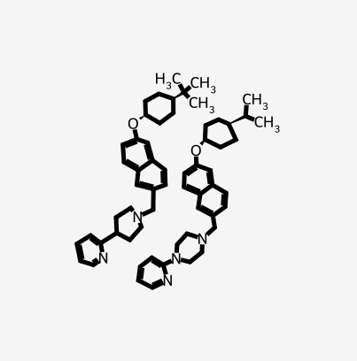 CC(C)(C)[C@H]1CC[C@H](Oc2ccc3cc(CN4CCC(c5ccccn5)CC4)ccc3c2)CC1.CC(C)[C@H]1CC[C@@H](Oc2ccc3cc(CN4CCN(c5ccccn5)CC4)ccc3c2)CC1